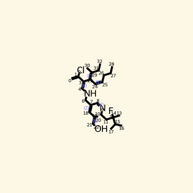 C=C(Cl)C(=C/NCC(/C=N\CCC(C)(F)C(C)C)=C/C(C)=C/O)/C(/C=C\CCC)=C(\C)CC